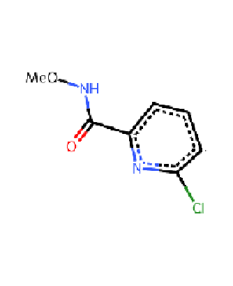 CONC(=O)c1cc[c]c(Cl)n1